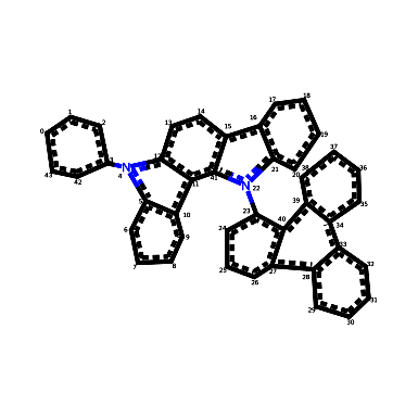 c1ccc(-n2c3ccccc3c3c2ccc2c4ccccc4n(-c4cccc5c6ccccc6c6ccccc6c45)c23)cc1